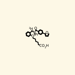 [2H]C(c1ccccc1OCCCCCC(=O)O)N(C(=O)c1ccc(-c2ccco2)cc1)C(C)C